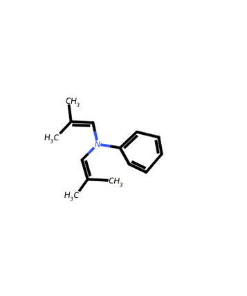 CC(C)=CN(C=C(C)C)c1ccccc1